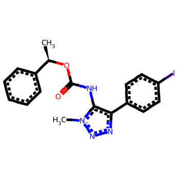 C[C@@H](OC(=O)Nc1c(-c2ccc(I)cc2)nnn1C)c1ccccc1